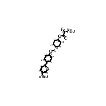 CCCCc1ccc(-c2ccc(OC[C@H]3CC[C@H](OC(=O)[C@@H](F)CCCC)CC3)cc2)nc1